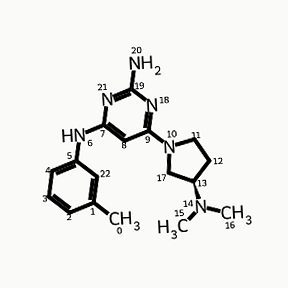 Cc1cccc(Nc2cc(N3CC[C@@H](N(C)C)C3)nc(N)n2)c1